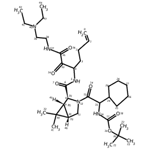 C=CCCC(NC(=O)[C@@H]1[C@@H]2[C@H](CN1C(=O)C(NC(=O)OC(C)(C)C)C1CCCCC1)C2(C)C)C(=O)C(=O)NCCN(CC)CC